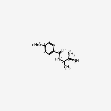 CCCCCCc1ccc(C(=O)NC(C)C(=N)N)cc1